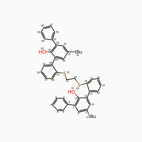 CC(C)(C)c1cc(-c2ccccc2)c(O)c(-c2ccccc2SCCSc2ccccc2-c2cc(C(C)(C)C)cc(-c3ccccc3)c2O)c1